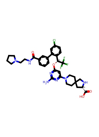 Nc1nc(O[C@H](c2ccc(Cl)cc2-c2cccc(C(=O)NCCN3CCCC3)c2)C(F)(F)F)cc(N2CCC3(CC2)CN[C@H](C(=O)O)C3)n1